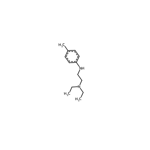 CCN(CC)CCNc1ccc(C)cc1